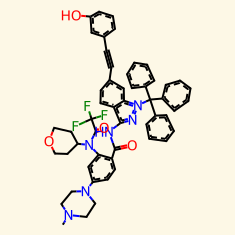 CN1CCN(c2ccc(C(=O)Nc3nn(C(c4ccccc4)(c4ccccc4)c4ccccc4)c4cc(C#Cc5cccc(O)c5)ccc34)c(N(C(=O)C(F)(F)F)C3CCOCC3)c2)CC1